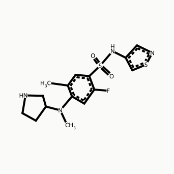 Cc1cc(S(=O)(=O)Nc2cnsc2)c(F)cc1N(C)C1CCNC1